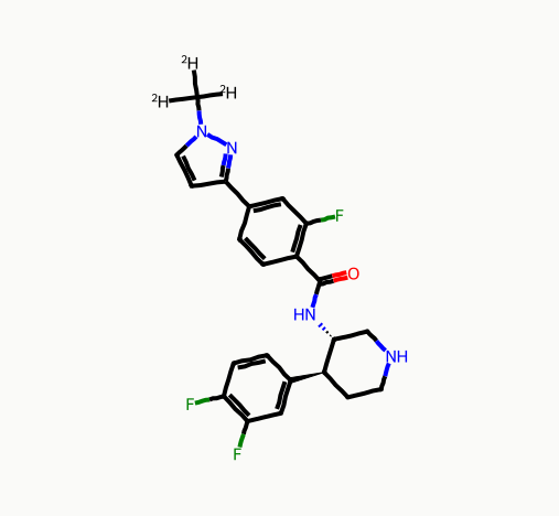 [2H]C([2H])([2H])n1ccc(-c2ccc(C(=O)N[C@@H]3CNCC[C@H]3c3ccc(F)c(F)c3)c(F)c2)n1